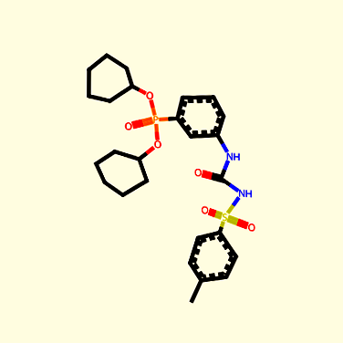 Cc1ccc(S(=O)(=O)NC(=O)Nc2cccc(P(=O)(OC3CCCCC3)OC3CCCCC3)c2)cc1